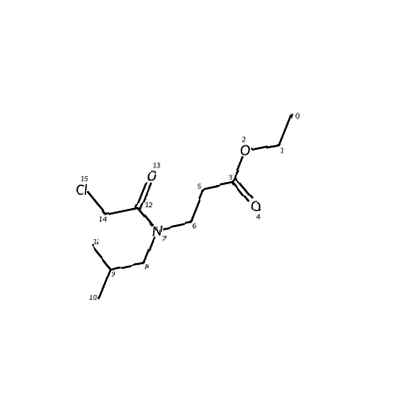 CCOC(=O)CCN(CC(C)C)C(=O)CCl